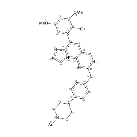 COc1cc(OC)c(Cl)c(-c2cc3cnc(Nc4ccc(N5CCN(C(C)=O)CC5)cc4)nc3n3cnnc23)c1